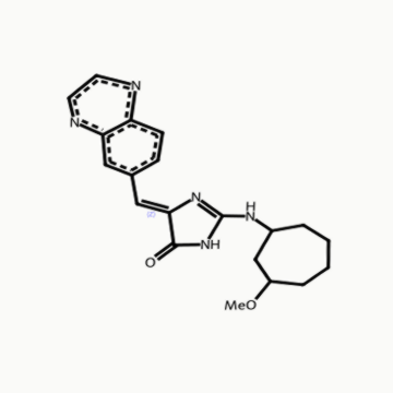 COC1CCCCC(NC2=N/C(=C\c3ccc4nccnc4c3)C(=O)N2)C1